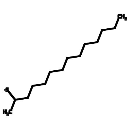 CCCCCCCCCCCCC(C)[S]